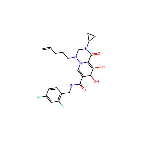 C=CCCCN1CN(C2CC2)C(=O)C2=C(O)C(O)C(C(=O)NCc3ccc(F)cc3F)=CN21